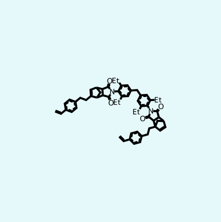 C=Cc1ccc(CCC2=CC3CC2C2C(=O)N(c4c(CC)cc(Cc5cc(CC)c(N6C(=O)C7C8C=CC(CCc9ccc(C=C)cc9)(C8)C7C6=O)c(CC)c5)cc4CC)C(=O)C32)cc1